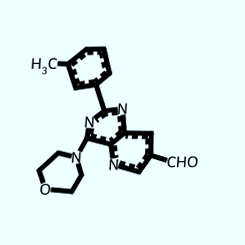 Cc1cccc(-c2nc(N3CCOCC3)c3ncc(C=O)cc3n2)c1